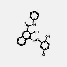 O=C(Nc1ccccc1)c1cc2ccccc2c(N=Nc2cc(Cl)ccc2O)c1O